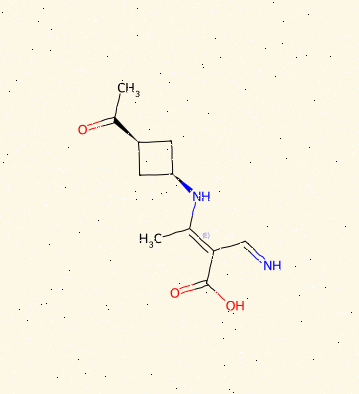 C/C(N[C@H]1C[C@@H](C(C)=O)C1)=C(/C=N)C(=O)O